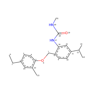 CCc1ccc(OCc2ccc(C(C)C)cc2NC(=O)NC)c(C)c1